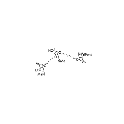 CCCCCOc1cc(C(C)=O)cc(OCCCCCCCCCCOc2cc(C(C)O)cc(OCCCCCCCOc3cc(C(C)=O)cc(OCC)c3CCCNC)c2CCCNC)c1CNC